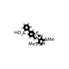 CSc1nnc(SC)c2c1nc(C)n2Cc1ccc(-c2ccccc2C(=O)O)cc1